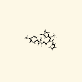 Cc1cc(-c2[nH]nc(-c3cccs3)c2CCNS(=O)(=O)c2ccc(C(C)(C)C)cc2)no1